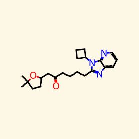 CC1(C)CCC(CC(=O)CCCCc2nc3cccnc3n2C2CCC2)O1